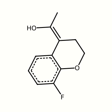 CC(O)=C1CCOc2c(F)cccc21